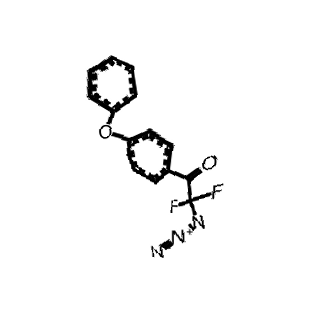 [N-]=[N+]=NC(F)(F)C(=O)c1ccc(Oc2ccccc2)cc1